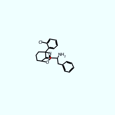 N[C@@H](Cc1ccccc1)C1=NC2(c3ccccc3Cl)CCCC(O1)C2=O